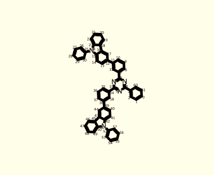 c1ccc(-c2nc(-c3cccc(-c4ccc5c(c4)c4ccccc4n5-c4ccccc4)c3)nc(-c3cccc(-c4ccc5c(c4)c4ccccc4n5-c4ccccc4)c3)n2)cc1